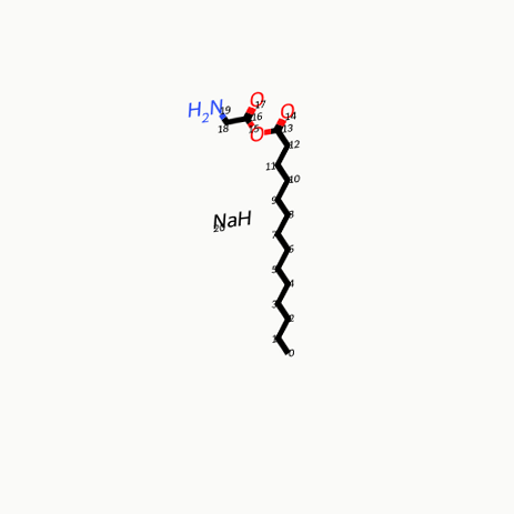 CCCCCCCCCCCCCC(=O)OC(=O)CN.[NaH]